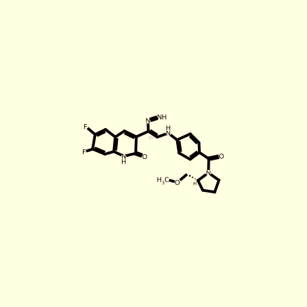 COC[C@H]1CCCN1C(=O)c1ccc(N/C=C(\N=N)c2cc3cc(F)c(F)cc3[nH]c2=O)cc1